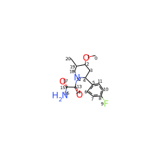 COC1CC(c2ccc(F)cc2)N(C(=O)C(N)=O)CC1C